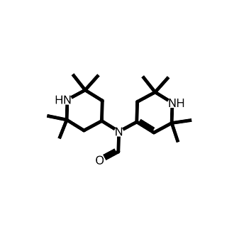 CC1(C)C=C(N(C=O)C2CC(C)(C)NC(C)(C)C2)CC(C)(C)N1